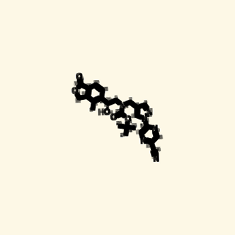 Cc1c([C@@H](O)CN(Cc2cnn(-c3cnc(C#N)cn3)c2)C(=O)OC(C)(C)C)ccc2c1COC2=O